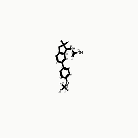 CC1(C)Cc2ccc(-c3ccc(OC(F)(F)F)cc3)cc2C1NC(=O)O